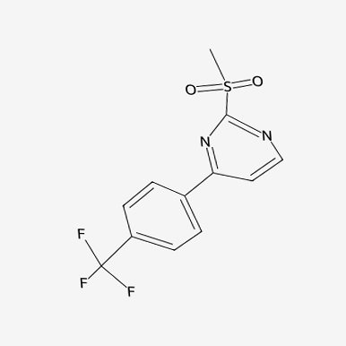 CS(=O)(=O)c1nccc(-c2ccc(C(F)(F)F)cc2)n1